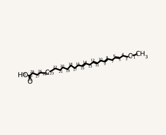 CCCCCC=CCC=CCC=CCC=CCCCCCCCCCCCCCC(=O)O